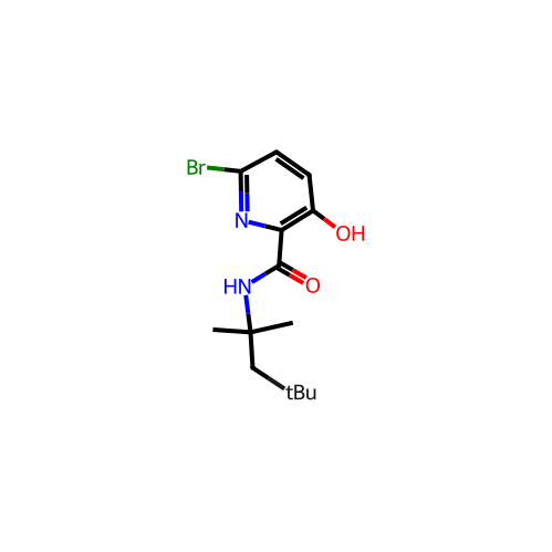 CC(C)(C)CC(C)(C)NC(=O)c1nc(Br)ccc1O